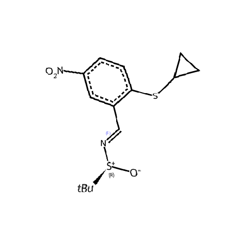 CC(C)(C)[S@+]([O-])/N=C/c1cc([N+](=O)[O-])ccc1SC1CC1